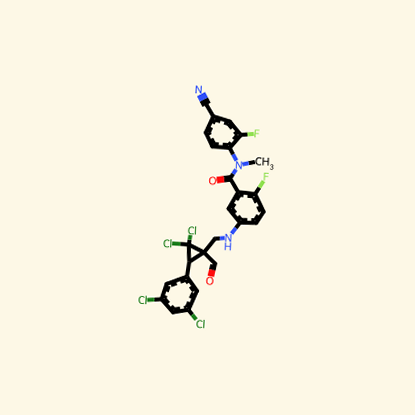 CN(C(=O)c1cc(NCC2(C=O)C(c3cc(Cl)cc(Cl)c3)C2(Cl)Cl)ccc1F)c1ccc(C#N)cc1F